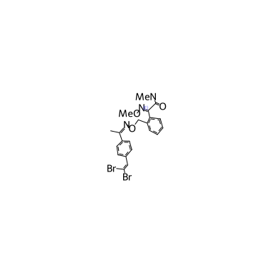 CNC(=O)/C(=N/OC)c1ccccc1CON=C(C)c1ccc(C=C(Br)Br)cc1